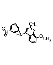 COc1cccc2c(Nc3cccc([N+](=O)[O-])c3)cc(C)nc12